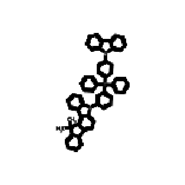 CC1(C)c2ccccc2-c2ccc3c(c21)c1ccccc1n3-c1cccc([Si](c2ccccc2)(c2ccccc2)c2ccc(-n3c4ccccc4c4ccccc43)cc2)c1